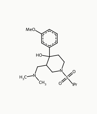 COc1cccc(C2(O)CCN(S(=O)(=O)C(C)C)CC2CN(C)C)c1